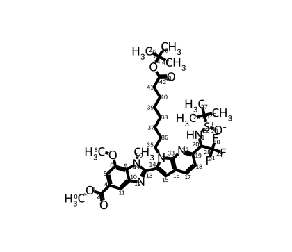 COC(=O)c1cc(OC)c2c(c1)nc(-c1cc3ccc(C(N[S+]([O-])C(C)(C)C)C(F)(F)F)nc3n1CCCCCCCC(=O)OC(C)(C)C)n2C